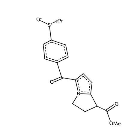 CCC[S+]([O-])c1ccc(C(=O)c2ccc3n2CCC3C(=O)OC)cc1